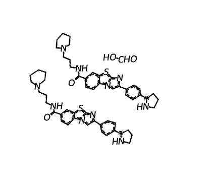 O=C(NCCCN1CCCCC1)c1ccc2c(c1)sc1nc(-c3ccc([C@H]4CCCN4)cc3)cn12.O=C(NCCCN1CCCCC1)c1ccc2c(c1)sc1nc(-c3ccc([C@H]4CCCN4)cc3)cn12.O=CO